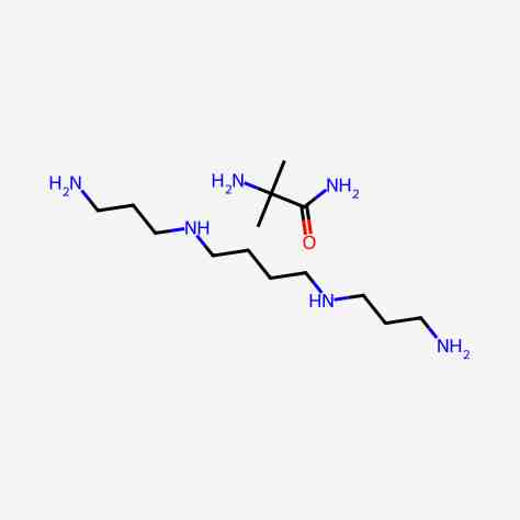 CC(C)(N)C(N)=O.NCCCNCCCCNCCCN